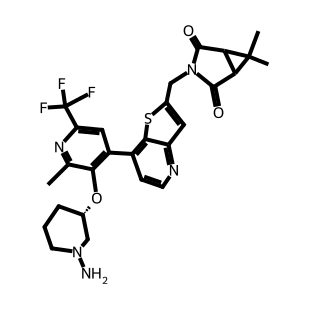 Cc1nc(C(F)(F)F)cc(-c2ccnc3cc(CN4C(=O)C5C(C4=O)C5(C)C)sc23)c1O[C@H]1CCCN(N)C1